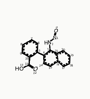 O=NNc1c(-c2ccccc2C(=O)O)ccc2ccccc12